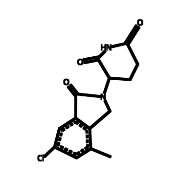 Cc1cc(Cl)cc2c1CN(C1CCC(=O)NC1=O)C2=O